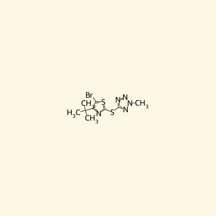 Cn1nnc(Sc2nc(C(C)(C)C)c(Br)s2)n1